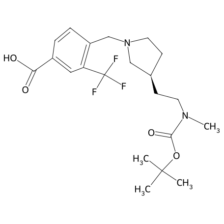 CN(CC[C@@H]1CCN(Cc2ccc(C(=O)O)cc2C(F)(F)F)C1)C(=O)OC(C)(C)C